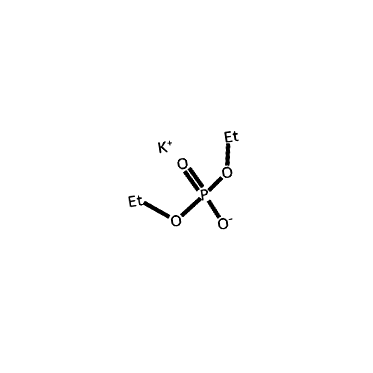 CCOP(=O)([O-])OCC.[K+]